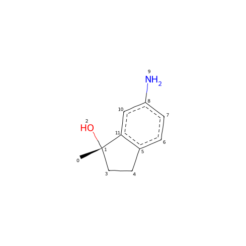 C[C@]1(O)CCc2ccc(N)cc21